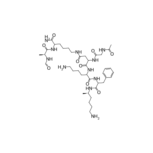 CC(=O)NCC(=O)NC(CC(=O)NCCCCC(NC(=O)[C@H](C)NC=O)C(N)=O)C(=O)NC(CCCCN)C(=O)NC(Cc1ccccc1)C(=O)N[C@H](C)CCCCN